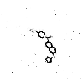 CCC(c1ccc2cc(OC3CCCC3)ccc2c1)N1CCC(C(=O)O)CC1